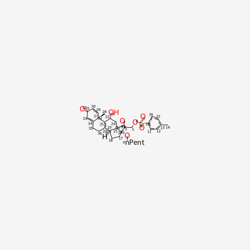 CCCCCO[C@]1(C(=O)COS(=O)(=O)c2ccc(C)cc2)CC[C@H]2C3=C(C(O)C[C@@]21C)[C@@]1(C)C=CC(=O)C=C1CC3